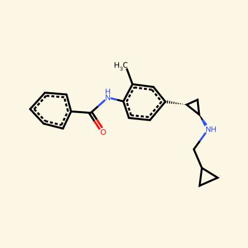 Cc1cc([C@@H]2C[C@H]2NCC2CC2)ccc1NC(=O)c1ccccc1